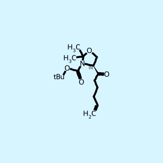 C=CCCCC(=O)[C@@H]1COC(C)(C)N1C(=O)OC(C)(C)C